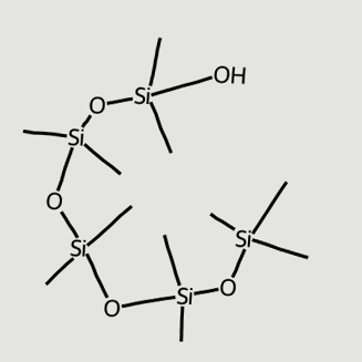 C[Si](C)(C)O[Si](C)(C)O[Si](C)(C)O[Si](C)(C)O[Si](C)(C)O